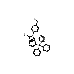 BrCc1ccc(-n2c(Br)ccc2-c2nnnn2C(c2ccccc2)(c2ccccc2)c2ccccc2)cc1